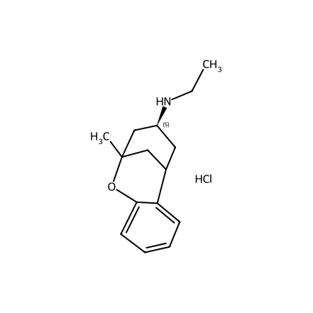 CCN[C@H]1CC2CC(C)(C1)Oc1ccccc12.Cl